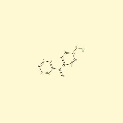 C=C(c1ccccc1)c1ccc(CCl)cc1